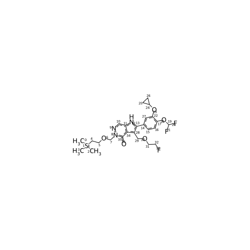 C[Si](C)(C)CCOCn1ncc2[nH]c(-c3ccc(OC(F)F)c(OC4CC4)c3)c(COCCF)c2c1=O